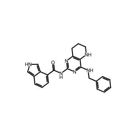 O=C(Nc1nc2c(c(NCc3ccccc3)n1)NCCC2)c1cccc2c[nH]cc12